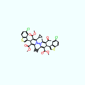 COC(=O)C1=C(C2CC2)N(N2C(C3CC3)=C(C(=O)OC)C(c3csc4ccc(Cl)cc34)C(C(=O)OC)=C2C2CC2)C(C)=C(C(C)=O)C1c1csc2ccc(Cl)cc12